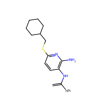 C=C(CCC)Nc1ccc(SCC2CCCCC2)nc1N